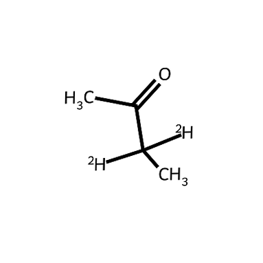 [2H]C([2H])(C)C(C)=O